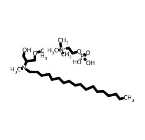 CCCCCCCCCCCCCCCCCCN(C)C(CO)COC.C[N+](C)(C)CCOP(=O)(O)O